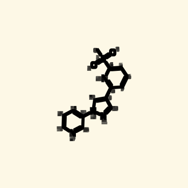 CS(=O)(=O)c1cccc(-c2cnn(-c3cccnc3)c2)n1